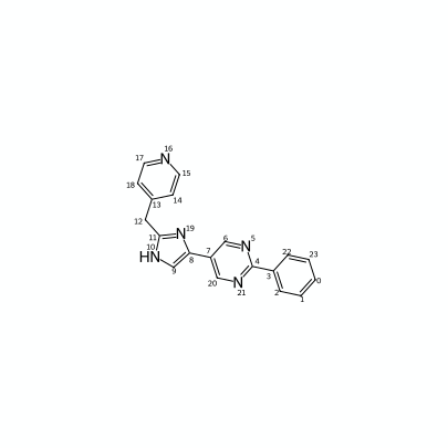 c1ccc(-c2ncc(-c3c[nH]c(Cc4ccncc4)n3)cn2)cc1